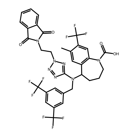 Cc1cc2c(cc1C(F)(F)F)N(C(=O)O)CCCC2N(Cc1cc(C(F)(F)F)cc(C(F)(F)F)c1)c1nnn(CCN2C(=O)c3ccccc3C2=O)n1